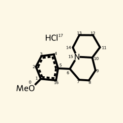 COc1cccc(C2CCCC3CCCCN32)c1.Cl